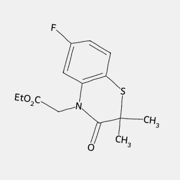 CCOC(=O)CN1C(=O)C(C)(C)Sc2ccc(F)cc21